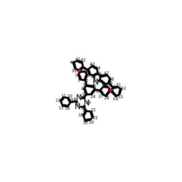 C1=CC(c2cc(-c3nc(-c4ccccc4)nc(-c4ccccc4)n3)cc(-c3ccccc3)c2-n2c3cc(-c4ccccc4)ccc3c3ccc(-c4ccccc4)cc32)=CCC1